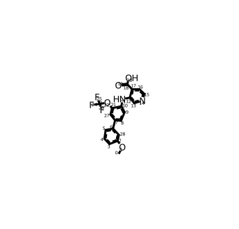 COc1cccc(-c2ccc(Nc3cnccc3C(=O)O)c(OC(F)(F)F)c2)c1